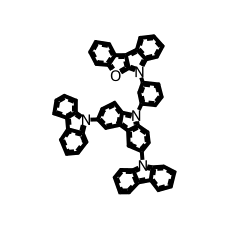 c1cc(-n2c3ccc(-n4c5ccccc5c5ccccc54)cc3c3cc(-n4c5ccccc5c5ccccc54)ccc32)cc(-n2c3ccccc3c3c4ccccc4oc32)c1